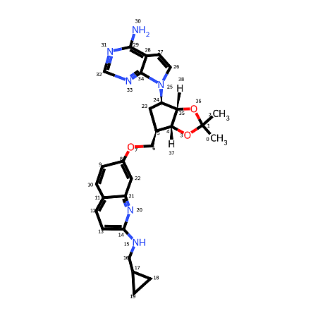 CC1(C)O[C@@H]2[C@@H](COc3ccc4ccc(NCC5CC5)nc4c3)C[C@@H](n3ccc4c(N)ncnc43)[C@@H]2O1